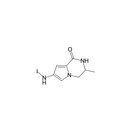 CC1Cn2cc(NI)cc2C(=O)N1